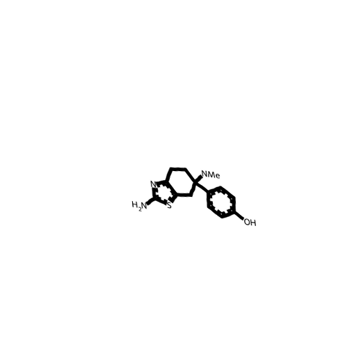 CNC1(c2ccc(O)cc2)CCc2nc(N)sc2C1